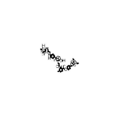 C#COP(=O)(OCC)OCc1ccc(OC(=O)c2ccc(C)cc2OC(=O)CC[C@H](NC(=O)c2ccc(NCc3cnc4[nH]c(C)nc(=O)c4n3)cc2)C(=O)O)cc1